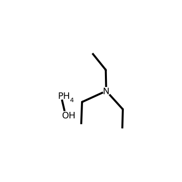 CCN(CC)CC.O[PH4]